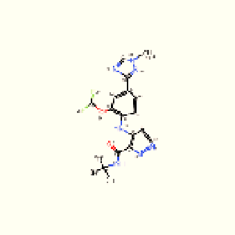 [2H]C([2H])([2H])NC(=O)c1nnccc1Nc1ccc(-c2ncn(C)n2)cc1OC(F)F